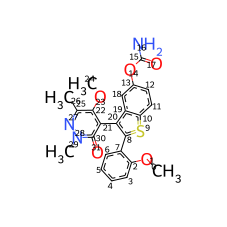 COc1ccccc1-c1sc2ccc(OC(N)=O)cc2c1-c1c(OC)c(C)nn(C)c1=O